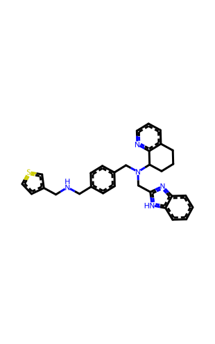 c1cnc2c(c1)CCCC2N(Cc1ccc(CNCc2ccsc2)cc1)Cc1nc2ccccc2[nH]1